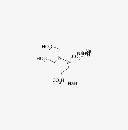 O=C(O)CC[C@@H](C(=O)O)N(CC(=O)O)CC(=O)O.[NaH].[NaH].[NaH].[NaH]